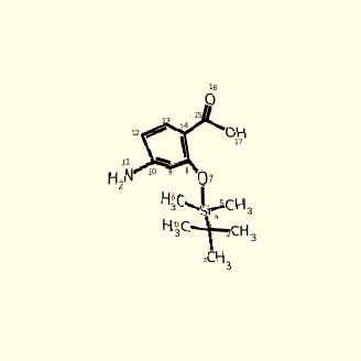 CC(C)(C)[Si](C)(C)Oc1cc(N)ccc1C(=O)O